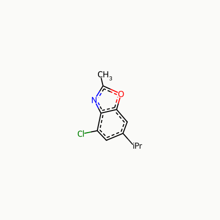 Cc1nc2c(Cl)cc(C(C)C)cc2o1